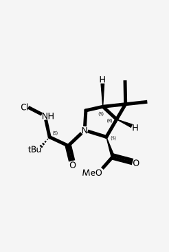 COC(=O)[C@@H]1[C@@H]2[C@H](CN1C(=O)[C@@H](NCl)C(C)(C)C)C2(C)C